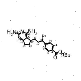 CC(C)(C)OC(=O)c1ccc(C(F)CCC2CCc3nc(N)nc(N)c32)cc1